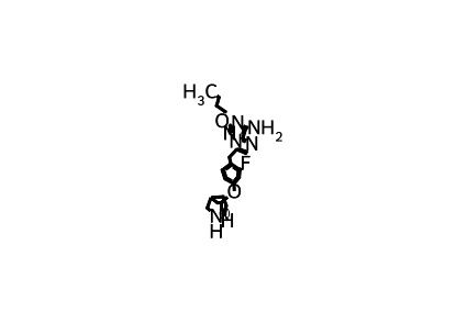 CCCCOc1nc(N)c2ncc(Cc3ccc(OC4CC5CC[C@@H](C4)NC5)cc3F)n2n1